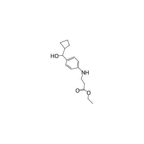 CCOC(=O)CCNc1ccc(C(O)C2CCC2)cc1